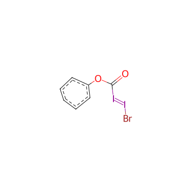 O=C(Oc1ccccc1)/I=I/Br